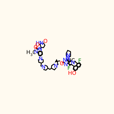 C#Cc1c(F)ccc2cc(O)cc(-c3ncc4c(N5CC6CCC(C5)N6)nc(OCC5(CN6CCC(CC7CCN(CC8CCN(c9ccc%10c(c9)n(C)c(=O)n%10C9CCC(=O)NC9=O)CC8)CC7)CC6)CC5)nc4c3F)c12